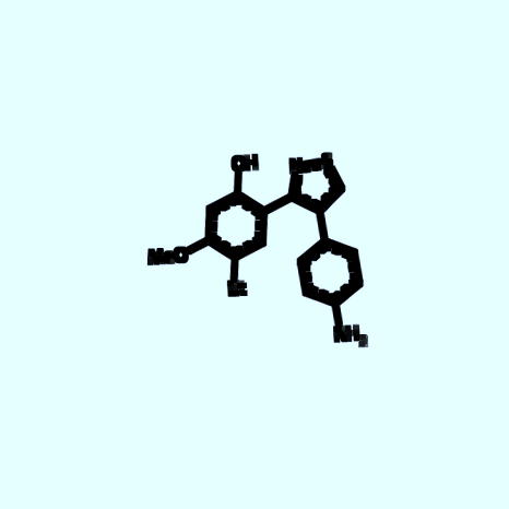 CCc1cc(-c2nscc2-c2ccc(N)cc2)c(O)cc1OC